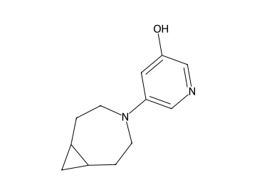 Oc1cncc(N2CCC3CC3CC2)c1